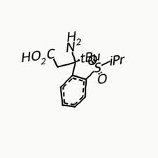 CC(C)S(=O)(=O)c1ccccc1[C@@](N)(CC(=O)O)C(C)(C)C